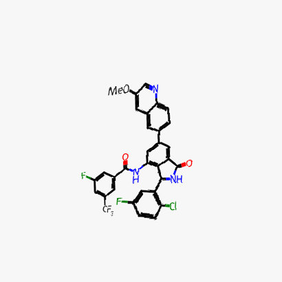 COc1cnc2ccc(-c3cc(NC(=O)c4cc(F)cc(C(F)(F)F)c4)c4c(c3)C(=O)NC4c3cc(F)ccc3Cl)cc2c1